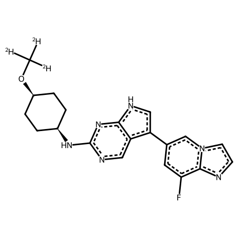 [2H]C([2H])([2H])O[C@H]1CC[C@@H](Nc2ncc3c(-c4cc(F)c5nccn5c4)c[nH]c3n2)CC1